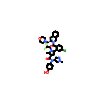 Cc1c(C(=O)N(c2ccc(O)cc2)c2cnn(C)c2)cc(-c2cc(Cl)ccc2C(=O)N2Cc3ccccc3C[C@H]2CN2CCOCC2)n1CC(F)F